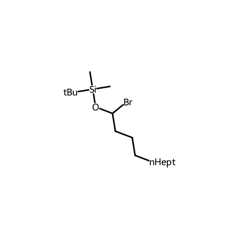 CCCCCCCCCCC(Br)O[Si](C)(C)C(C)(C)C